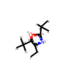 CCc1nc(C(C)(C)C)oc1C(C)(C)C